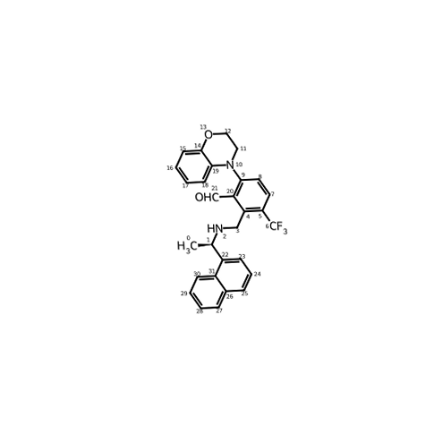 C[C@@H](NCc1c(C(F)(F)F)ccc(N2CCOc3ccccc32)c1C=O)c1cccc2ccccc12